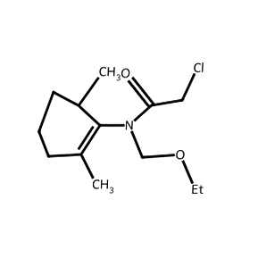 CCOCN(C(=O)CCl)C1=C(C)CCCC1C